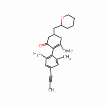 CC#Cc1cc(C)c(C2=C(OC)CC(CC3CCCCO3)CC2=O)c(C)c1